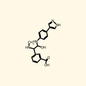 CNC(c1cccc(C(=O)O)c1)C(O)Nc1ccc(-c2cn[nH]c2)cc1